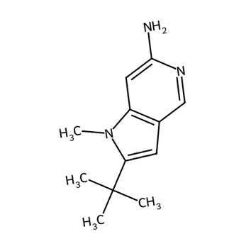 Cn1c(C(C)(C)C)cc2cnc(N)cc21